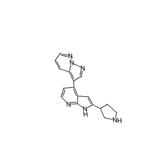 c1cnn2ncc(-c3ccnc4[nH]c(C5CCNC5)cc34)c2c1